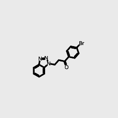 O=C(CCn1nnc2ccccc21)c1ccc(Br)cc1